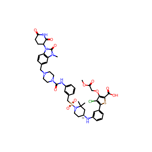 COC(=O)COc1c(C(=O)O)sc(-c2cccc(N[C@H]3CCN(S(=O)(=O)Cc4cccc(NC(=O)N5CCN(Cc6ccc7c(c6)n(C)c(=O)n7C6CCC(=O)NC6=O)CC5)c4)C(C)(C)C3)c2)c1Cl